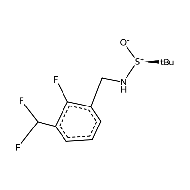 CC(C)(C)[S@+]([O-])NCc1cccc(C(F)F)c1F